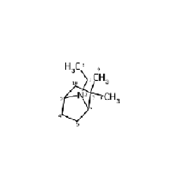 CCN1C2CCC1C(C)(C)C2